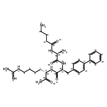 N=C(N)NCCCC[C@H](NC(=O)[C@H](Cc1ccc(-c2ccccc2)cc1)NC(=O)[C@H](P)NC(=O)CCCN)C(N)=O